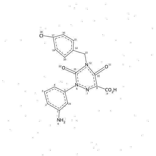 Nc1cccc(-n2nc(C(=O)O)c(=O)n(Cc3ccc(Cl)cc3)c2=O)c1